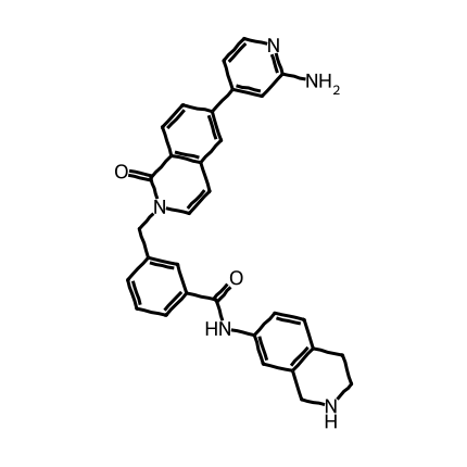 Nc1cc(-c2ccc3c(=O)n(Cc4cccc(C(=O)Nc5ccc6c(c5)CNCC6)c4)ccc3c2)ccn1